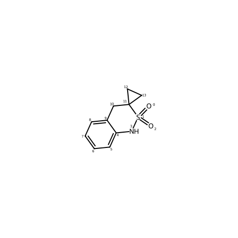 O=S1(=O)Nc2ccccc2CC12CC2